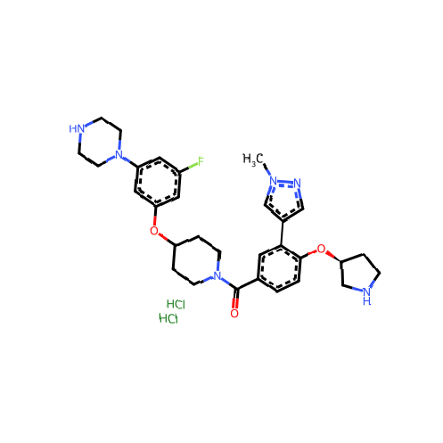 Cl.Cl.Cn1cc(-c2cc(C(=O)N3CCC(Oc4cc(F)cc(N5CCNCC5)c4)CC3)ccc2O[C@H]2CCNC2)cn1